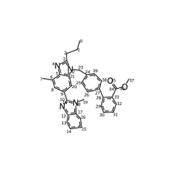 CCCc1nc2c(C)cc(-c3nc4ccccc4n3C)cc2n1Cc1ccc(-c2ccccc2C(=O)OC)cc1